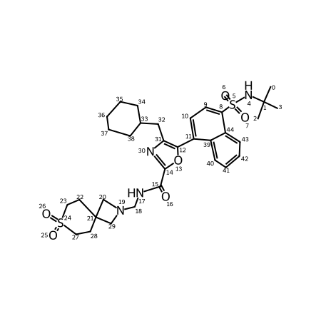 CC(C)(C)NS(=O)(=O)c1ccc(-c2oc(C(=O)NCN3CC4(CCS(=O)(=O)CC4)C3)nc2CC2CCCCC2)c2ccccc12